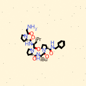 CCC(C)C(NC(=O)[C@@H]1CCCN1C(=O)C(CC(C)C)NC(=O)[C@@H]1CCCN1C(=O)CN)C(=O)N1CCC[C@H]1C(=O)NCc1ccccc1